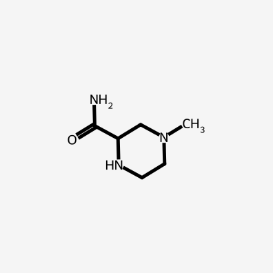 CN1CCNC(C(N)=O)C1